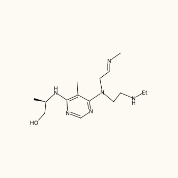 CCNCCN(C/C=N/C)c1ncnc(N[C@H](C)CO)c1C